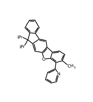 Cc1ccc2c(oc3cc4c(cc32)-c2ccccc2C4(C(C)C)C(C)C)c1-c1ccccn1